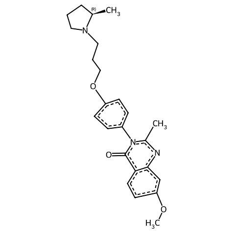 COc1ccc2c(=O)n(-c3ccc(OCCCN4CCC[C@H]4C)cc3)c(C)nc2c1